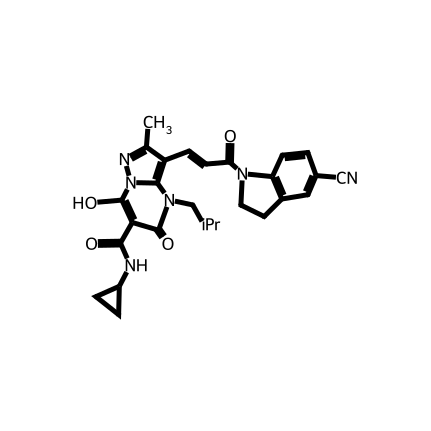 Cc1nn2c(O)c(C(=O)NC3CC3)c(=O)n(CC(C)C)c2c1C=CC(=O)N1CCc2cc(C#N)ccc21